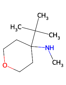 CNC1(C(C)(C)C)CCOCC1